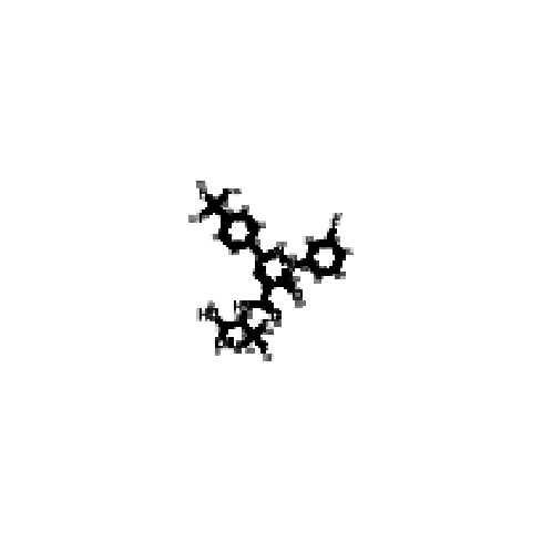 CC(O)C(NC(=O)c1cc(-c2ccc(C(F)(F)F)cc2)nn(-c2cccc(F)c2)c1=O)C(F)(F)F